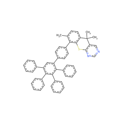 Cc1ccc2c(c1-c1ccc(-c3cc(-c4ccccc4)c(-c4ccccc4)c(-c4ccccc4)c3-c3ccccc3)cc1)Sc1ncncc1C2(C)C